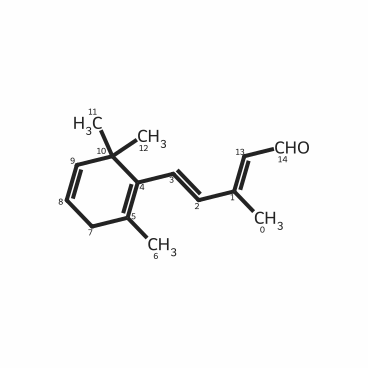 CC(C=CC1=C(C)CC=CC1(C)C)=CC=O